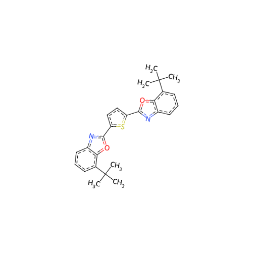 CC(C)(C)c1cccc2nc(-c3ccc(-c4nc5cccc(C(C)(C)C)c5o4)s3)oc12